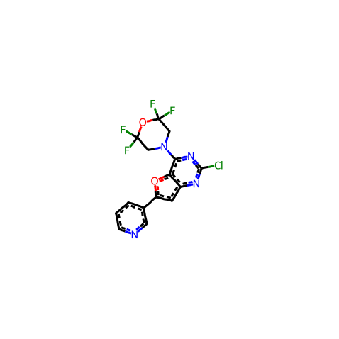 FC1(F)CN(c2nc(Cl)nc3cc(-c4cccnc4)oc23)CC(F)(F)O1